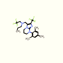 CCCN(Cc1c(C(F)(F)F)nc2n1CCCN2c1c(C)cc(C)cc1C)CC(F)(F)F